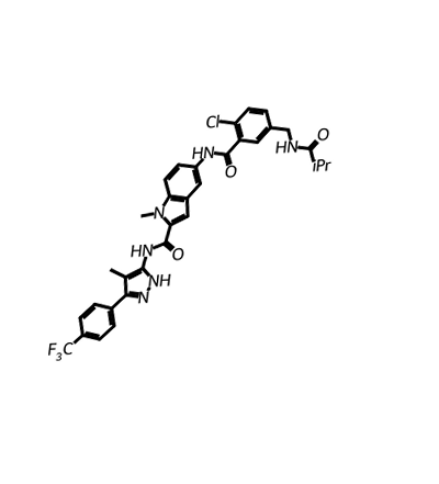 Cc1c(-c2ccc(C(F)(F)F)cc2)n[nH]c1NC(=O)c1cc2cc(NC(=O)c3cc(CNC(=O)C(C)C)ccc3Cl)ccc2n1C